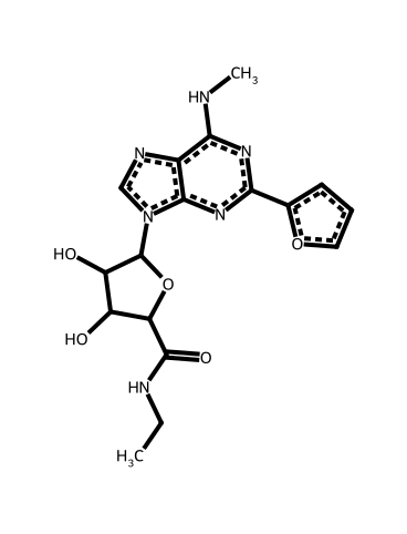 CCNC(=O)C1OC(n2cnc3c(NC)nc(-c4ccco4)nc32)C(O)C1O